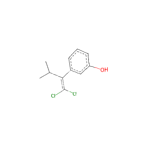 CC(C)C(=C(Cl)Cl)c1cccc(O)c1